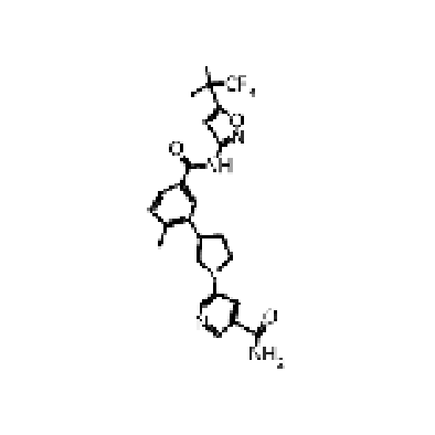 Cc1ccc(C(=O)Nc2cc(C(C)(C)C(F)(F)F)on2)cc1C1CCN(c2cncc(C(N)=O)c2)C1